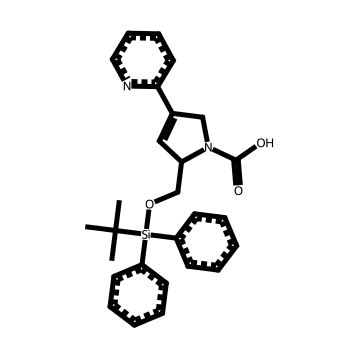 CC(C)(C)[Si](OCC1C=C(c2ccccn2)CN1C(=O)O)(c1ccccc1)c1ccccc1